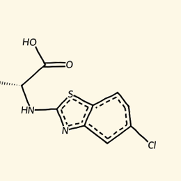 C[C@@H](Nc1nc2cc(Cl)ccc2s1)C(=O)O